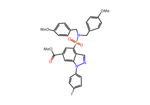 COC(=O)c1cc(S(=O)(=O)N(Cc2ccc(OC)cc2)Cc2ccc(OC)cc2)c2cnn(-c3ccc(F)cc3)c2c1